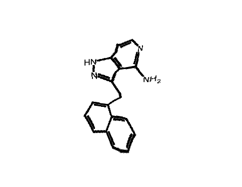 Nc1nccc2[nH]nc(Cc3cccc4ccccc34)c12